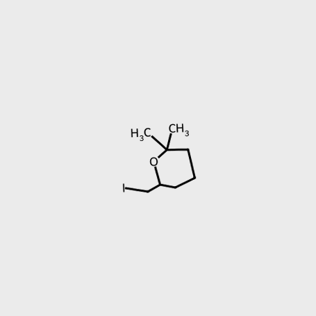 CC1(C)CCCC(CI)O1